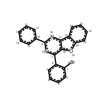 Brc1ccccc1-c1nc(-c2ccccc2)nc2c1oc1ccccc12